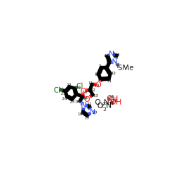 CSn1cncc1-c1ccc(OCC2COC(Cn3ccnc3)(c3ccc(Cl)cc3Cl)O2)cc1.O=[N+]([O-])O.O=[N+]([O-])O